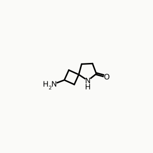 NC1CC2(CCC(=O)N2)C1